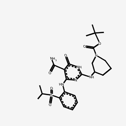 CC(C)S(=O)(=O)c1ccccc1Nc1nc(NC2CCCN(C(=O)OC(C)(C)C)C2)[nH]c(=O)c1C(N)=O